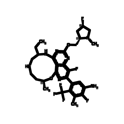 CCC1CNCC[C@H](C)Oc2nc(-c3cc(N)c(F)c(C)c3C(F)(F)F)c(F)c3nc(OC[C@@H]4C[C@@H](F)CN4C)nc(c23)N1